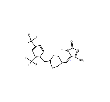 CN1C(=O)N=C(N)/C1=C/C1CCN(Cc2ccc(C(F)(F)F)cc2C(F)(F)F)CC1